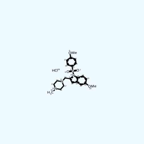 COc1ccc(S(=O)(=O)n2c(CN3CCN(C)CC3)cc3cc(OC)ccc32)cc1.Cl